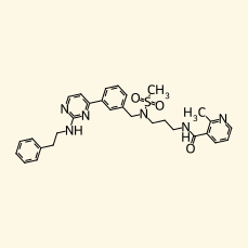 Cc1ncccc1C(=O)NCCCN(Cc1cccc(-c2ccnc(NCCc3ccccc3)n2)c1)S(C)(=O)=O